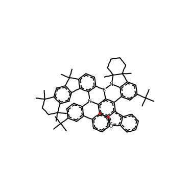 CC(C)(C)c1ccc(N2c3cc4oc5ccccc5c4c4c3B(c3ccc5c(c32)-c2cc3c(cc2C5(C)C)C(C)(C)CCC3(C)C)N2c3c-4cc(C(C)(C)C)cc3C3(C)CCCCC23C)c(-c2ccccc2)c1